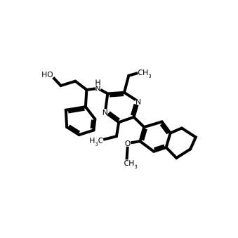 CCc1nc(-c2cc3c(cc2OC)CCCC3)c(CC)nc1NC(CCO)c1ccccc1